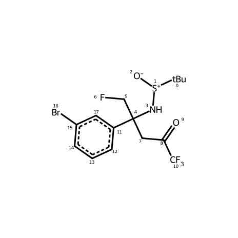 CC(C)(C)[S+]([O-])NC(CF)(CC(=O)C(F)(F)F)c1cccc(Br)c1